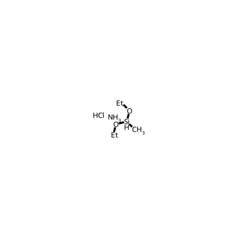 CCO[SiH](C)OCC.Cl.N